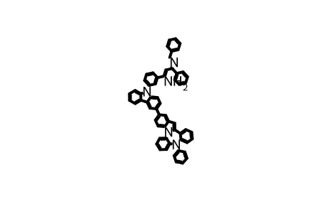 N/C(=C\C(=N/Cc1ccccc1)c1ccccc1)c1cccc(-n2c3ccccc3c3cc(-c4ccc5c(c4)cc4n5-c5ccccc5N(c5ccccc5)c5ccccc5-4)ccc32)c1